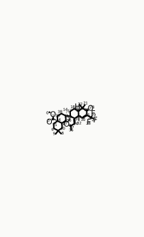 COC(=O)[C@]12CCC(C)(C)CC1C[C@](C)([C@]1(C)CC[C@H]3C(C)(C)C(=O)C(C(F)(F)F)=C[C@]3(C)/C1=C/C(C)=O)CC2